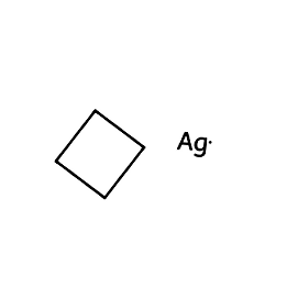 C1CCC1.[Ag]